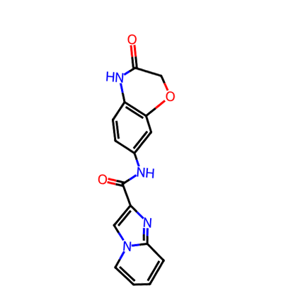 O=C1COc2cc(NC(=O)c3cn4ccccc4n3)ccc2N1